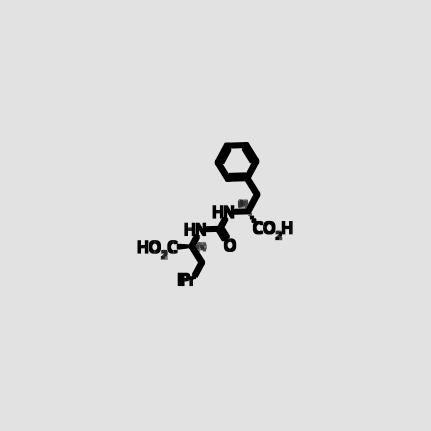 CC(C)C[C@H](NC(=O)N[C@H](Cc1ccccc1)C(=O)O)C(=O)O